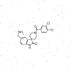 NCc1ccc2c(c1)C1(CCN(C(=O)c3ccc(Cl)c(Cl)c3)CC1)C(=O)N2